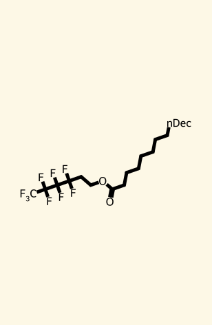 CCCCCCCCCCCCCCCCCC(=O)OCCC(F)(F)C(F)(F)C(F)(F)C(F)(F)F